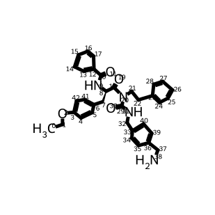 CCOc1ccc(C[C@@H](NC(=O)c2ccccc2)C(=O)N(CCc2ccccc2)C(=O)NCc2ccc(CN)cc2)cc1